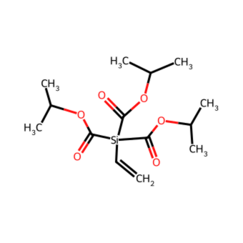 C=C[Si](C(=O)OC(C)C)(C(=O)OC(C)C)C(=O)OC(C)C